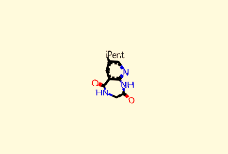 CCCC(C)c1cnc2c(c1)C(=O)NCC(=O)N2